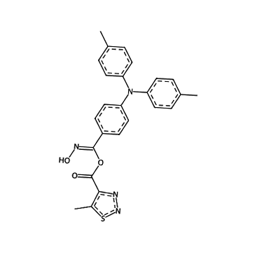 Cc1ccc(N(c2ccc(C)cc2)c2ccc(C(=NO)OC(=O)c3nnsc3C)cc2)cc1